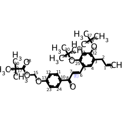 C=CCc1cc(/C=C/C(=O)c2ccc(OCOC(=O)C(C)(C)C)cc2)c(OC(C)(C)C)cc1OC(C)(C)C